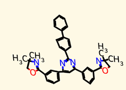 CC1(C)COC(c2cccc(-c3cc(-c4cccc(C5=NC(C)(C)CO5)c4)nc(-c4ccc(-c5ccccc5)cc4)n3)c2)=N1